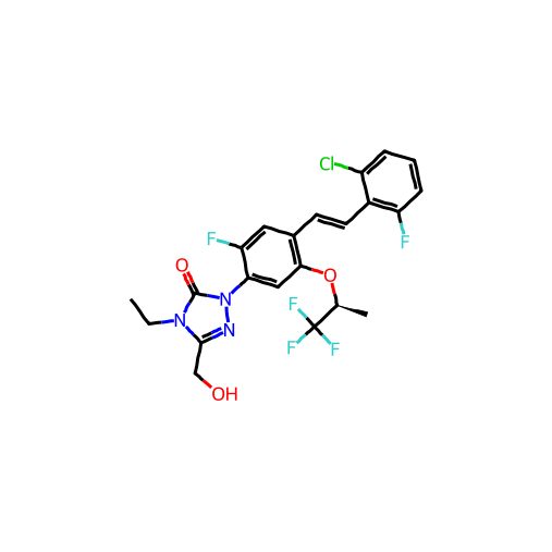 CCn1c(CO)nn(-c2cc(O[C@@H](C)C(F)(F)F)c(/C=C/c3c(F)cccc3Cl)cc2F)c1=O